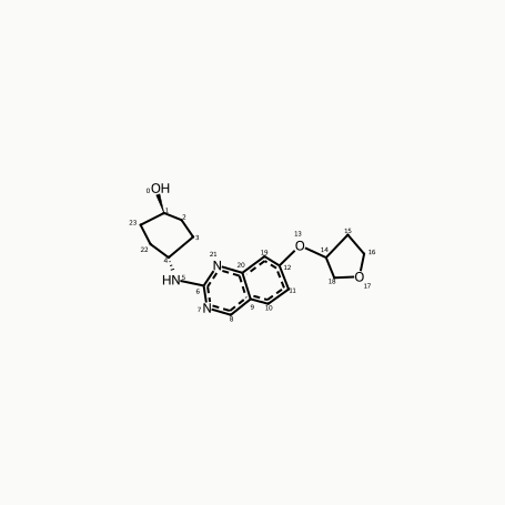 O[C@H]1CC[C@H](Nc2ncc3ccc(OC4CCOC4)cc3n2)CC1